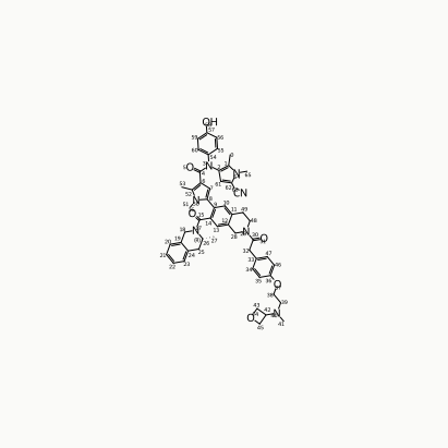 Cc1c(N(C(=O)c2cc(-c3cc4c(cc3C(=O)N3Cc5ccccc5C[C@H]3C)CN(C(=O)Cc3ccc(OCCN(C)C5COC5)cc3)CC4)n(C)c2C)c2ccc(O)cc2)cc(C#N)n1C